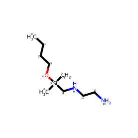 CCCCO[Si](C)(C)CNCCN